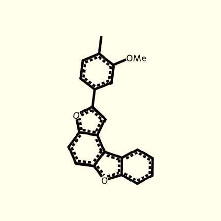 COc1cc(-c2cc3c(ccc4oc5ccccc5c43)o2)ccc1C